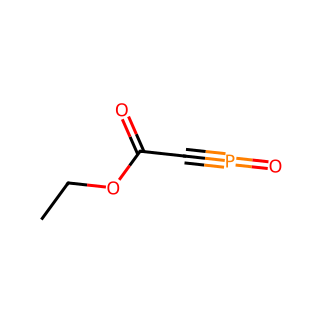 CCOC(=O)C#P=O